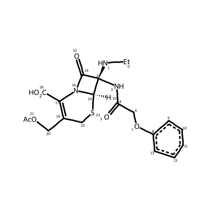 CCN[C@]1(NC(=O)COc2ccccc2)C(=O)N2C(C(=O)O)=C(COC(C)=O)CS[C@@H]21